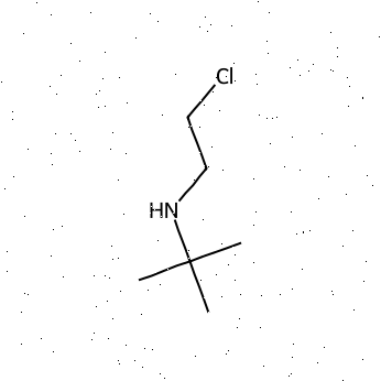 CC(C)(C)NCCCl